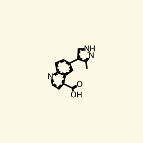 Cc1n[nH]cc1-c1ccc2nccc(C(=O)O)c2c1